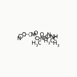 Cc1ccc(C(=O)N2CCC(c3ccc4ccncc4c3)CC2)cc1NC(=O)c1ccc(NC(C)C)nc1